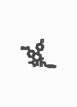 COCCNC1(C)N=C(c2ccc(Cl)cc2)c2cc(OC)ccc2-n2c(C)nnc21